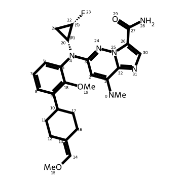 CNc1cc(N(c2cccc(C3CCC(=COC)CC3)c2OC)[C@@H]2C[C@@H]2F)nn2c(C(N)=O)cnc12